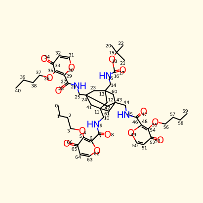 CCCCOc1c(C(=O)NCC23CC4(CNC(=O)OC(C)(C)C)CC(CNC(=O)c5occc(=O)c5OCCCC)(C2)CC(CNC(=O)c2occc(=O)c2OCCCC)(C4)C3)occc1=O